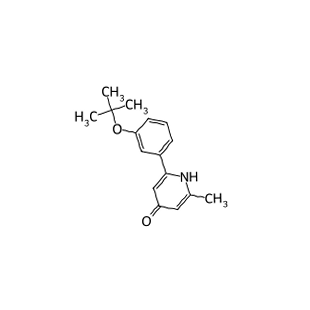 Cc1cc(=O)cc(-c2cccc(OC(C)(C)C)c2)[nH]1